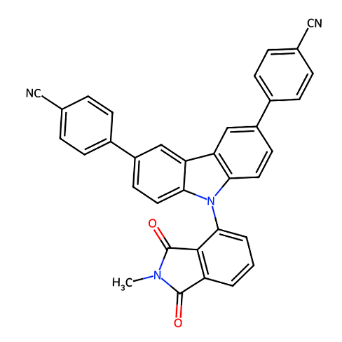 CN1C(=O)c2cccc(-n3c4ccc(-c5ccc(C#N)cc5)cc4c4cc(-c5ccc(C#N)cc5)ccc43)c2C1=O